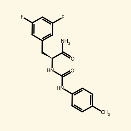 Cc1ccc(NC(=O)N[C@@H](Cc2cc(F)cc(F)c2)C(N)=O)cc1